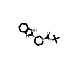 CC(C)(C)OC(=O)N1CCC[C@@H](c2nc3c([nH]2)CCCC3)C1